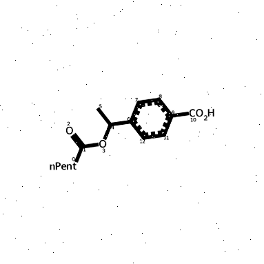 CCCCCC(=O)OC(C)c1ccc(C(=O)O)cc1